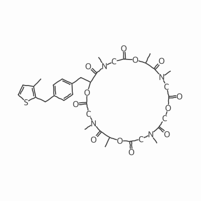 Cc1ccsc1Cc1ccc(CC2OC(=O)CN(C)C(=O)C(C)OC(=O)CN(C)C(=O)COC(=O)CN(C)C(=O)C(C)OC(=O)CN(C)C2=O)cc1